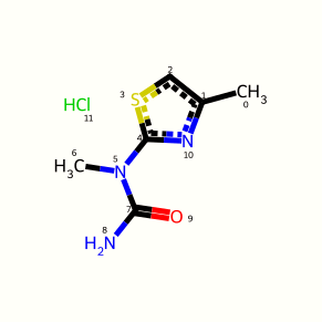 Cc1csc(N(C)C(N)=O)n1.Cl